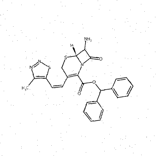 Cc1nnsc1/C=C\C1=C(C(=O)OC(c2ccccc2)c2ccccc2)N2C(=O)C(N)[C@H]2SC1